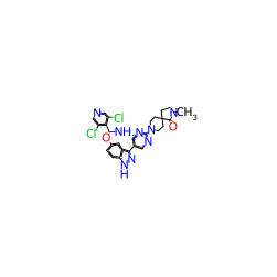 CN1CCC2(CCN(c3ncc(-c4n[nH]c5ccc(O[C@H](N)c6c(Cl)cncc6Cl)cc45)cn3)CC2)C1=O